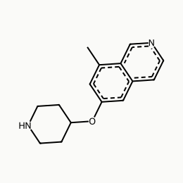 Cc1cc(OC2CCNCC2)cc2ccncc12